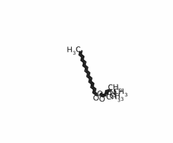 CCCCCCCCCCCCCCCCCC(=O)OC(=O)C(C)=CC(C)N(C)C